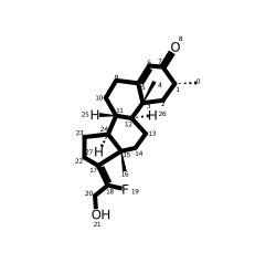 C[C@@H]1C[C@@]2(C)C(=CC1=O)CC[C@@H]1[C@@H]2CC[C@]2(C)C(=C(F)CO)CC[C@@H]12